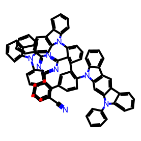 N#Cc1ccccc1-c1ccc(-n2c3ccccc3c3cc4c5ccccc5n(-c5ccccc5)c4cc32)c(-c2cccc(-n3c4ccccc4c4cc5c6ccccc6n(-c6ccccc6)c5cc43)c2-c2nc(-c3ccccc3)nc(-c3ccccc3)n2)c1